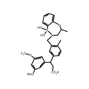 COc1cc(OC(F)(F)F)cc(C(CC(=O)O)c2ccc(C)c(CN3CC(C)Oc4ccccc4S3(O)O)c2)c1